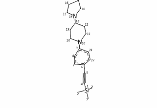 C[Si](C)(C)C#Cc1ccc(N2CCC(N3CCCC3)CC2)cc1